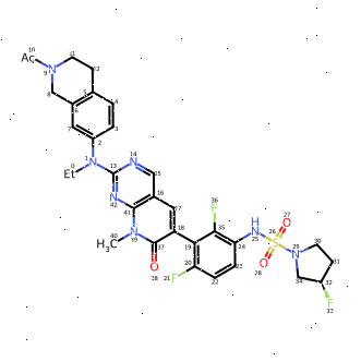 CCN(c1ccc2c(c1)CN(C(C)=O)CC2)c1ncc2cc(-c3c(F)ccc(NS(=O)(=O)N4CC[C@@H](F)C4)c3F)c(=O)n(C)c2n1